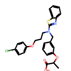 CC(Oc1cccc(CN(CCCOc2ccc(Cl)cc2)c2nc3ccccc3s2)c1)C(=O)O